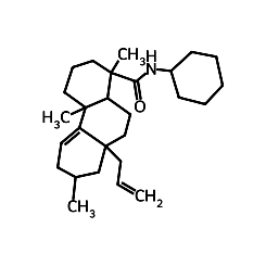 C=CCC12CCC3C(C)(C(=O)NC4CCCCC4)CCCC3(C)C1=CCC(C)C2